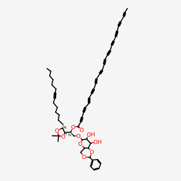 CC#CC#CC#CC#CC#CC#CC#CC#CC#CC#CC#CC#CC(=O)O[C@@H](COC1OC2COC(c3ccccc3)OC2C(O)C1O)[C@@H]1OC(C)(C)O[C@@H]1CCCCCCC#CCCCCCC